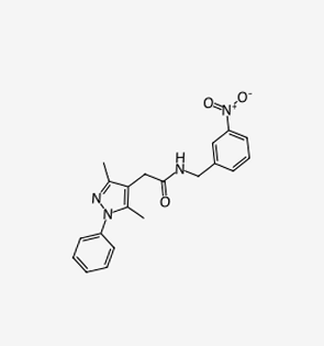 Cc1nn(-c2ccccc2)c(C)c1CC(=O)NCc1cccc([N+](=O)[O-])c1